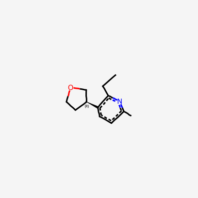 CCc1nc(C)ccc1[C@H]1CCOC1